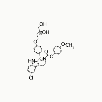 COc1ccc(OC(=O)N2CCc3c([nH]c4ccc(Cl)cc34)[C@@H]2c2ccc(OCC[C@H](O)CO)cc2)cc1